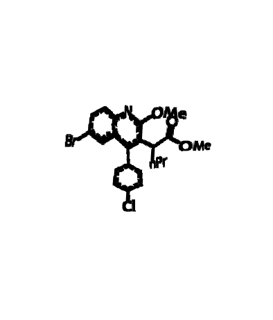 CCCC(C(=O)OC)c1c(OC)nc2ccc(Br)cc2c1-c1ccc(Cl)cc1